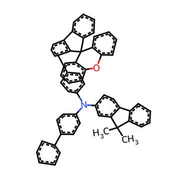 CC1(C)c2ccccc2-c2ccc(N(c3ccc(-c4ccccc4)cc3)c3ccc(-c4cccc5c4C4(c6ccccc6Oc6ccccc64)c4ccccc4-5)cc3)cc21